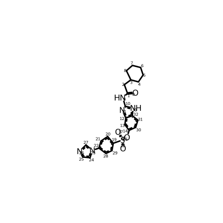 O=C(CC1CCCCC1)Nc1nc2cc(OS(=O)(=O)c3ccc(-n4ccnc4)cc3)ccc2[nH]1